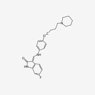 O=C1Nc2cc(F)ccc2/C1=C\Nc1ccc(OCCCCN2CCCCC2)cc1